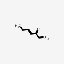 C=CC(=O)C=CCC